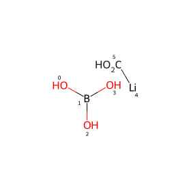 OB(O)O.[Li][C](=O)O